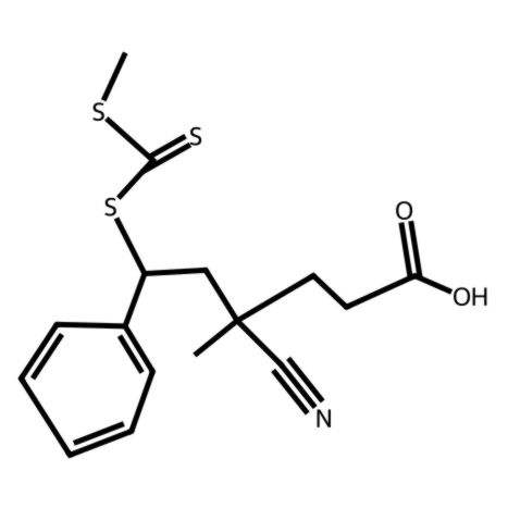 CSC(=S)SC(CC(C)(C#N)CCC(=O)O)c1ccccc1